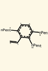 C=Cc1c(CCCCC)ccc(CCCCC)c1CCCCC